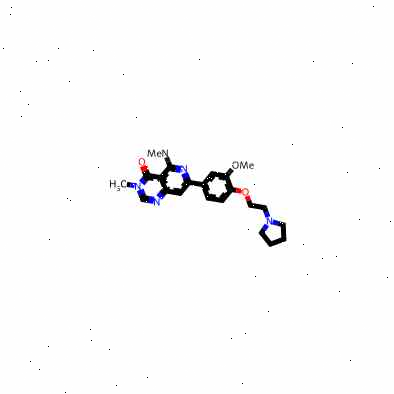 CNc1nc(-c2ccc(OCCN3CCCC3)c(OC)c2)cc2ncn(C)c(=O)c12